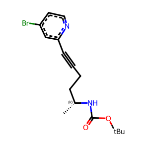 C[C@H](CCC#Cc1cc(Br)ccn1)NC(=O)OC(C)(C)C